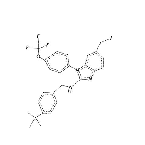 CC(C)(C)c1ccc(CNc2nc3ccc(CI)cc3n2-c2ccc(OC(F)(F)F)cc2)cc1